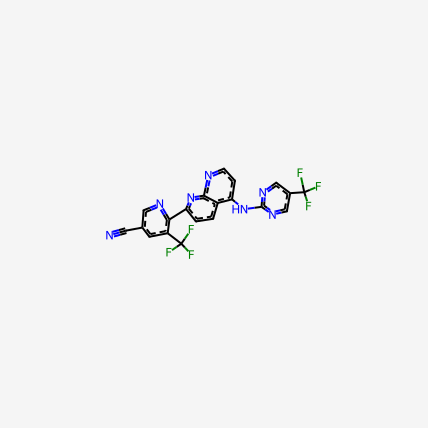 N#Cc1cnc(-c2ccc3c(Nc4ncc(C(F)(F)F)cn4)ccnc3n2)c(C(F)(F)F)c1